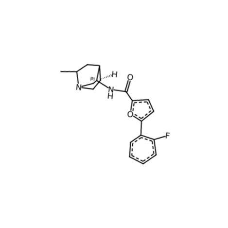 CC1CC2CCN1C[C@@H]2NC(=O)c1ccc(-c2ccccc2F)o1